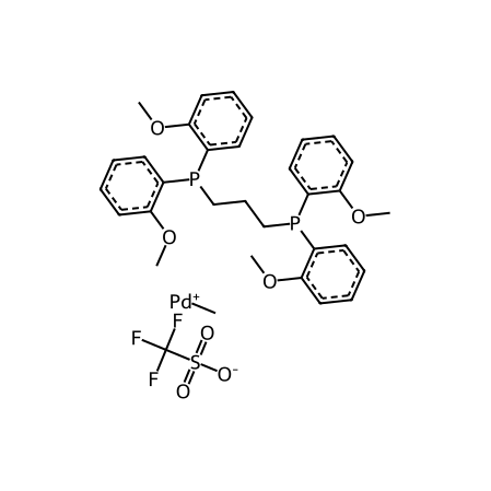 COc1ccccc1P(CCCP(c1ccccc1OC)c1ccccc1OC)c1ccccc1OC.O=S(=O)([O-])C(F)(F)F.[CH3][Pd+]